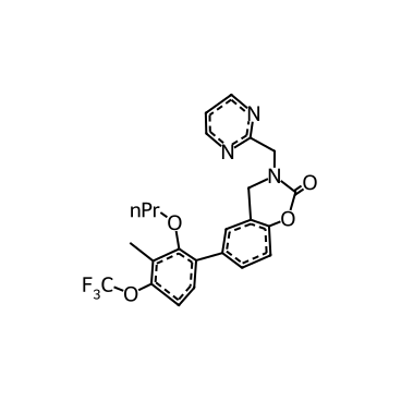 CCCOc1c(-c2ccc3c(c2)CN(Cc2ncccn2)C(=O)O3)ccc(OC(F)(F)F)c1C